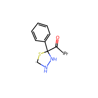 CC(C)C(=O)C1(c2ccccc2)NN[CH]S1